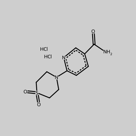 Cl.Cl.NC(=O)c1ccc(N2CCS(=O)(=O)CC2)nc1